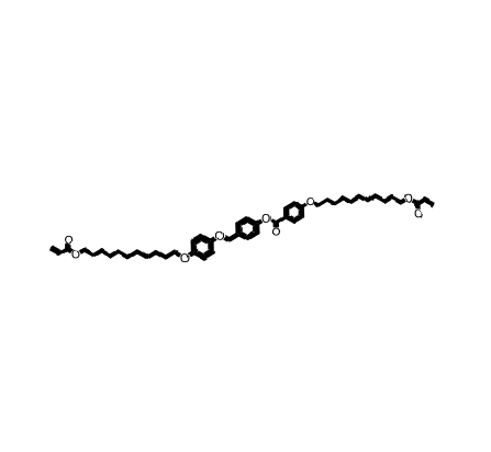 C=CC(=O)OCCCCCCCCCCCOc1ccc(OCc2ccc(OC(=O)c3ccc(OCCCCCCCCCCCOC(=O)C=C)cc3)cc2)cc1